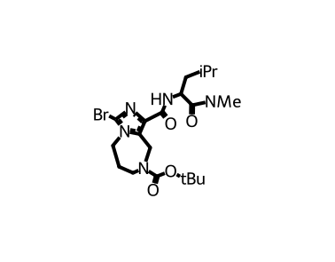 CNC(=O)C(CC(C)C)NC(=O)c1nc(Br)n2c1CN(C(=O)OC(C)(C)C)CCC2